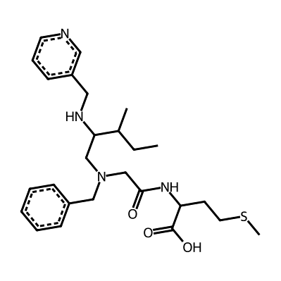 CCC(C)C(CN(CC(=O)NC(CCSC)C(=O)O)Cc1ccccc1)NCc1cccnc1